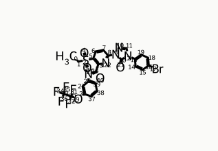 CCS(=O)(=O)c1ccc(-n2ncn(-c3ccc(Br)cc3)c2=O)nc1-c1nc2cc(OC(F)(F)C(F)(F)F)ccc2o1